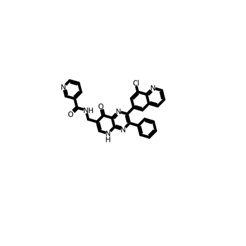 O=C(NCc1c[nH]c2nc(-c3ccccc3)c(-c3cc(Cl)c4ncccc4c3)nc2c1=O)c1cccnc1